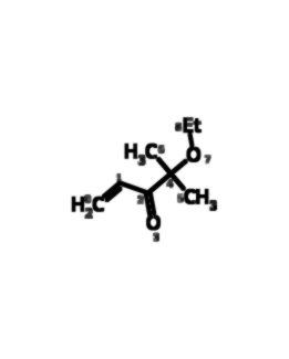 C=CC(=O)C(C)(C)OCC